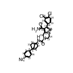 N#Cc1ccc(C23CCC(NC(=O)N4CCn5nc(-c6ccc(Cl)c(Cl)c6)c(C(N)=O)c5C4)(CC2)CC3)cc1